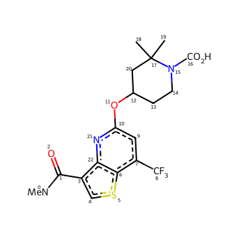 CNC(=O)c1csc2c(C(F)(F)F)cc(OC3CCN(C(=O)O)C(C)(C)C3)nc12